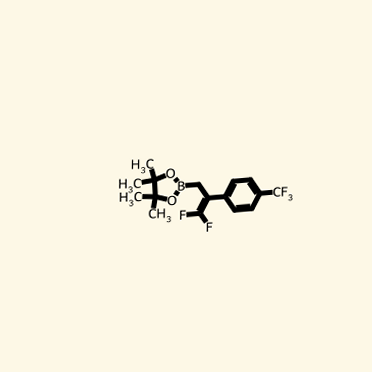 CC1(C)OB(CC(=C(F)F)c2ccc(C(F)(F)F)cc2)OC1(C)C